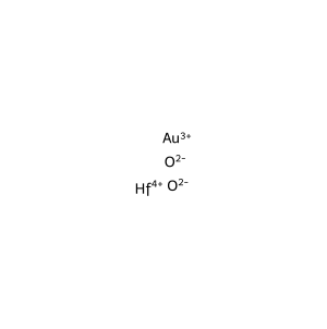 [Au+3].[Hf+4].[O-2].[O-2]